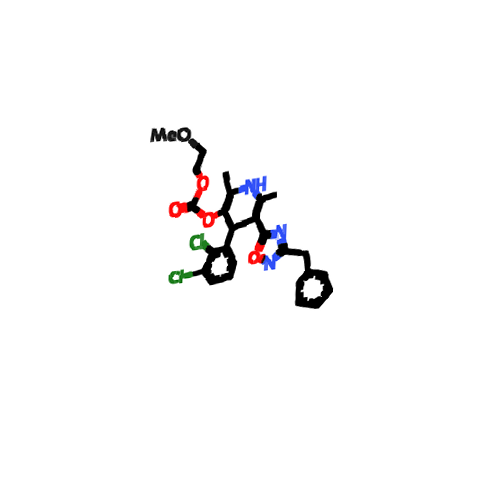 COCCOC(=O)OC1=C(C)NC(C)=C(c2nc(Cc3ccccc3)no2)C1c1cccc(Cl)c1Cl